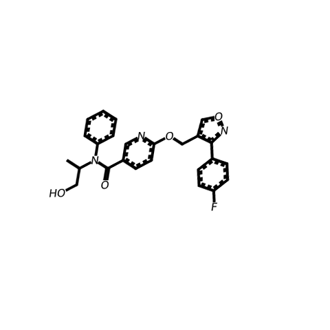 CC(CO)N(C(=O)c1ccc(OCc2conc2-c2ccc(F)cc2)nc1)c1ccccc1